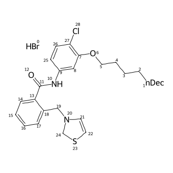 Br.CCCCCCCCCCCCCCOc1cc(NC(=O)c2ccccc2CN2C=CSC2)ccc1Cl